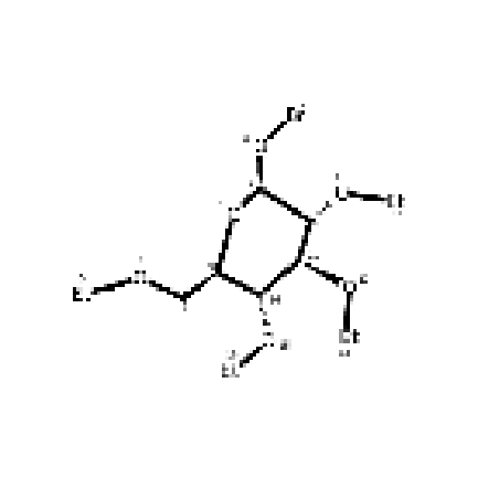 CCOC[C@H]1O[C@@H](OBr)[C@H](OCC)[C@@H](OCC)[C@@H]1OCC